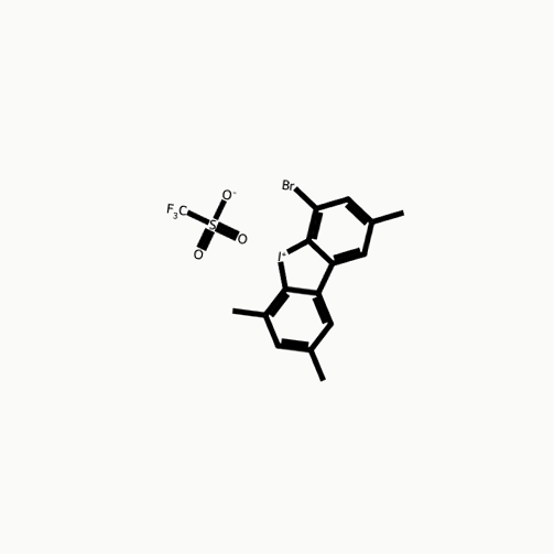 Cc1cc(C)c2c(c1)-c1cc(C)cc(Br)c1[I+]2.O=S(=O)([O-])C(F)(F)F